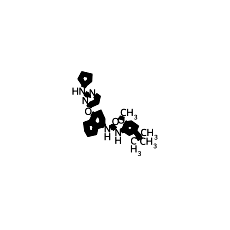 COc1ccc(C(C)(C)C)cc1NC(=O)Nc1ccc(Oc2ccnc(NC3CCCC3)n2)c2ccccc12